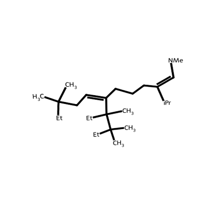 CCC(C)(C)C/C=C(/CCC/C(=C\NC)C(C)C)C(C)(CC)C(C)(C)CC